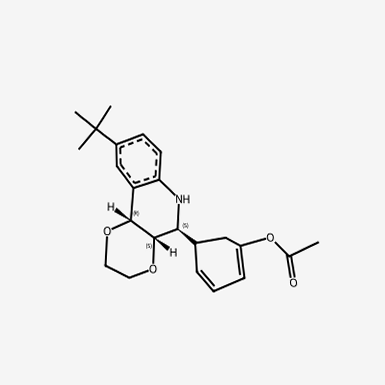 CC(=O)OC1=CC=CC([C@@H]2Nc3ccc(C(C)(C)C)cc3[C@H]3OCCO[C@H]32)C1